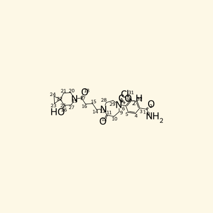 NC(=O)c1ccc([N+]2(C(=O)O)CCC(=O)N(CCCC(=O)N3CCC4(CC4)[C@H](O)C3)CC2)c(Cl)c1